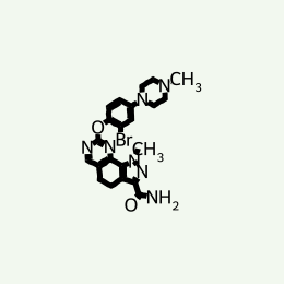 CN1CCN(c2ccc(Oc3ncc4c(n3)-c3c(c(C(N)=O)nn3C)CC4)c(Br)c2)CC1